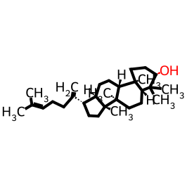 C=C(CCC=C(C)C)[C@H]1CC[C@]2(C)[C@@H]1CC[C@@H]1[C@@]3(C)CC[C@H](O)C(C)(C)[C@@H]3CC[C@]12C